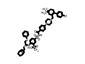 CC1(C)CCC(c2ccc(Cl)cc2)=C(CN2CCN(c3ccc(C(=O)NS(=O)(=O)c4ccc(N[C@H](CCN5C6CCC5CC6)CSc5ccccc5)c(S(=O)(=O)C(F)(F)F)c4)cc3)CC2)C1